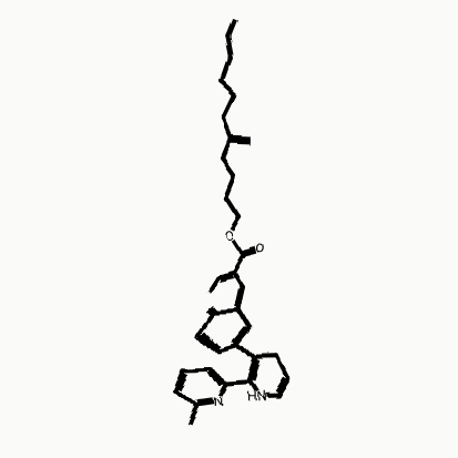 C=C(CCCCCC)CCCCOC(=O)C(/C=c1/cc(C2=C(c3cccc(C)n3)NC=CC2)ccc1=C)=C/C